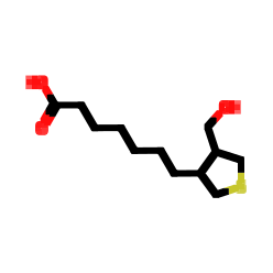 O=C(O)CCCCCCC1CSCC1CO